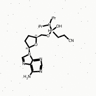 CC(C)N(C(C)C)[PH](O)(CCC#N)OC[C@@H]1CC[C@H](n2cnc3c(N)ncnc32)O1